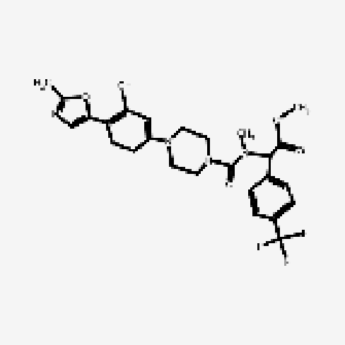 COC(=O)C(c1ccc(C(F)(F)F)cc1)N(C)C(=O)N1CCN(C2=CC(O)=C(c3cnc(C)o3)CC2)CC1